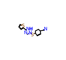 N#CC1C=CC(SN/C=N\C(=N)c2cccs2)CC1